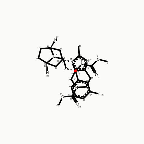 COC(=O)N[C@@H](CCN1[C@@H]2CC[C@H]1C[C@@H](n1c(C)nc3c1CN(C(=O)OC)CC3)C2)c1cccc(F)c1